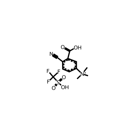 C[N+](C)(C)c1ccc(C#N)c(C(=O)O)c1.O=S(=O)(O)C(F)(F)F